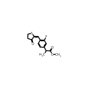 COC(=O)C(C)c1ccc(C=C2SCCC2=O)c(F)c1